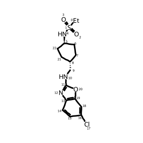 CCS(=O)(=O)N[C@H]1CC[C@H](CNc2nc3ccc(Cl)cc3o2)CC1